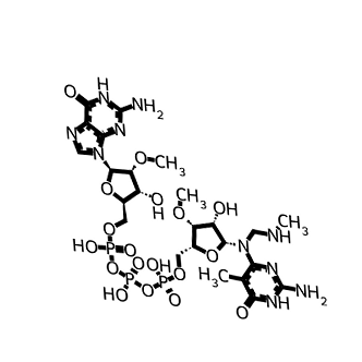 CNCN(c1nc(N)[nH]c(=O)c1C)[C@@H]1O[C@H](COP(=O)(O)OP(=O)(O)OP(=O)(O)OC[C@H]2O[C@@H](n3cnc4c(=O)[nH]c(N)nc43)[C@H](OC)[C@@H]2O)[C@H](OC)[C@@H]1O